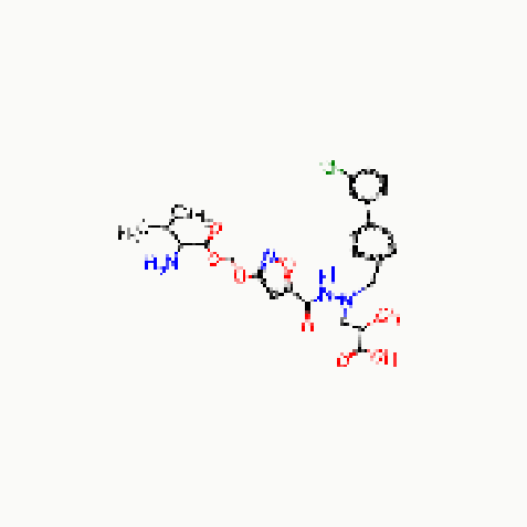 CC(C)C(N)C(=O)OCOc1cc(C(=O)NN(Cc2ccc(-c3cccc(Cl)c3)cc2)CC(O)C(=O)O)on1